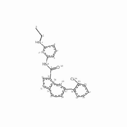 CCNc1cccc(NC(=O)c2cnc3ccc(-c4ccccc4Cl)nn23)n1